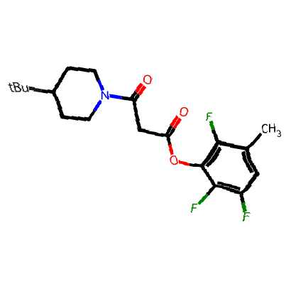 Cc1cc(F)c(F)c(OC(=O)CC(=O)N2CCC(C(C)(C)C)CC2)c1F